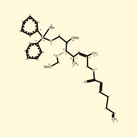 C=CCC/C=C/C(=O)OC/C(C)=C\[C@@H](C)[C@H](OCOC)C(CO[Si](c1ccccc1)(c1ccccc1)C(C)(C)C)OC